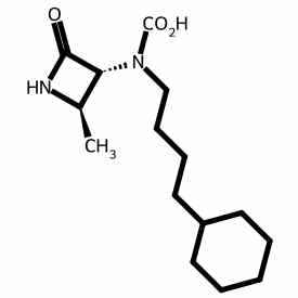 C[C@H]1NC(=O)[C@@H]1N(CCCCC1CCCCC1)C(=O)O